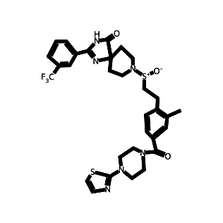 Cc1cc(C(=O)N2CCN(c3nccs3)CC2)ccc1CC[S+]([O-])N1CCC2(CC1)N=C(c1cccc(C(F)(F)F)c1)NC2=O